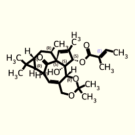 C/C=C(\C)C(=O)O[C@H]1C(C)=C[C@]23C(=O)[C@@H](C=C4COC(C)(C)O[C@H]4[C@]12O)[C@H]1[C@@H](C[C@H]3C)C1(C)C